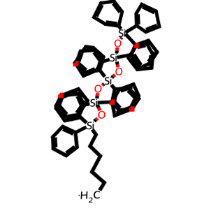 [CH2]CCCCC[Si](O[Si](O[Si](O[Si](O[Si](c1ccccc1)(c1ccccc1)c1ccccc1)(c1ccccc1)c1ccccc1)(c1ccccc1)c1ccccc1)(c1ccccc1)c1ccccc1)(c1ccccc1)c1ccccc1